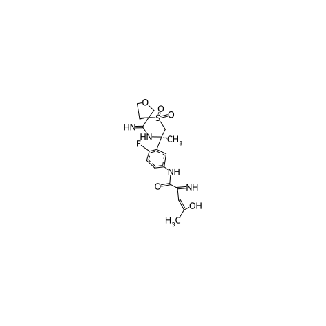 C/C(O)=C/C(=N)C(=O)Nc1ccc(F)c([C@]2(C)CS(=O)(=O)[C@]3(CCOC3)C(=N)N2)c1